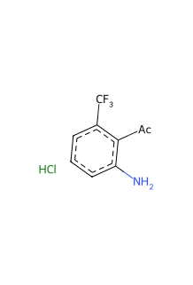 CC(=O)c1c(N)cccc1C(F)(F)F.Cl